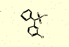 O=S(=O)(O)N(c1ccccc1)c1ccnc(Cl)n1